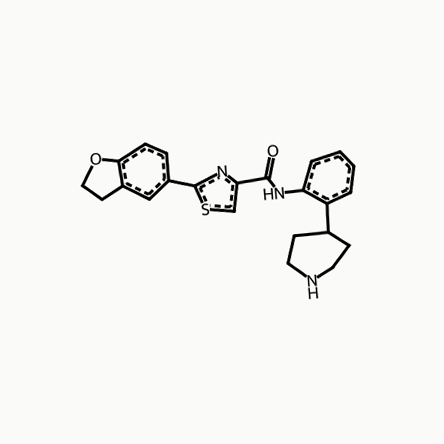 O=C(Nc1ccccc1C1CCNCC1)c1csc(-c2ccc3c(c2)CCO3)n1